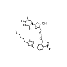 CCCCCCc1cn(Cc2ccc([N+](=O)[O-])c(C(C)OCOC[C@H]3O[C@@H](n4cc(C)c(=O)[nH]c4=O)C[C@@H]3O)c2)nn1